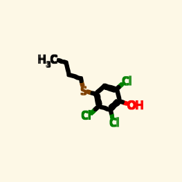 CCCCSc1cc(Cl)c(O)c(Cl)c1Cl